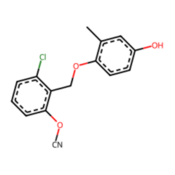 Cc1cc(O)ccc1OCc1c(Cl)cccc1OC#N